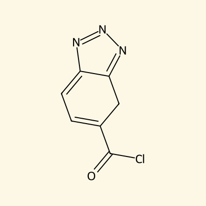 O=C(Cl)C1=CC=C2N=NN=C2C1